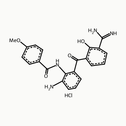 COc1ccc(C(=O)Nc2c(N)cccc2C(=O)c2cccc(C(=N)N)c2O)cc1.Cl